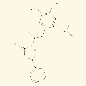 COc1cc(CC(=N)n2nc(-c3ccccn3)sc2=N)c(SN(C)C)cc1OC